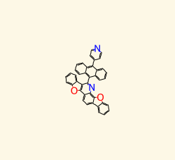 c1ccc2c(c1)oc1c2ccc2c1nc(-c1c3ccccc3c(-c3ccncc3)c3ccccc13)c1c3ccccc3oc21